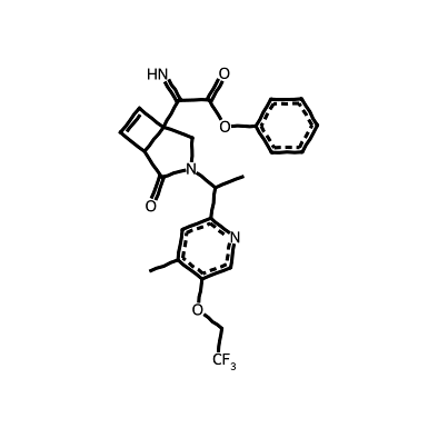 Cc1cc(C(C)N2CC3(C(=N)C(=O)Oc4ccccc4)C=CC3C2=O)ncc1OCC(F)(F)F